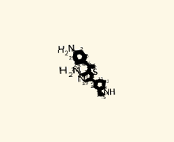 Nc1ccc(-c2csc3c(-c4ccc5[nH]ccc5c4)cnc(N)c23)cc1